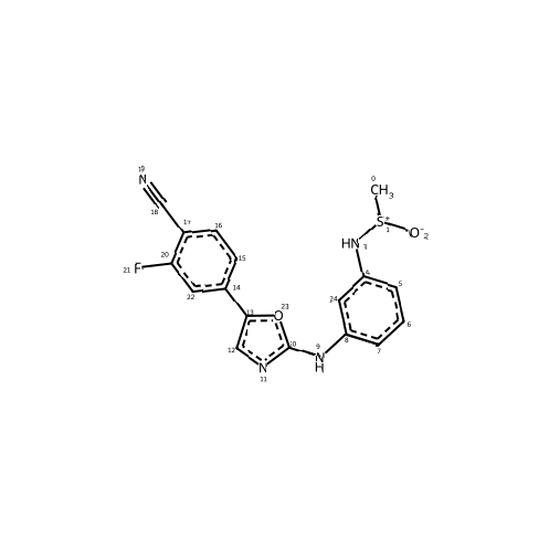 C[S+]([O-])Nc1cccc(Nc2ncc(-c3ccc(C#N)c(F)c3)o2)c1